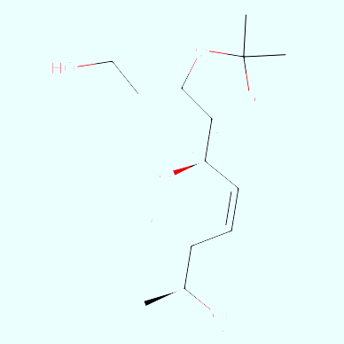 C[C@H](O)[C@H](C)/C=C\[C@@H](O)[C@H]1OC(C)(C)O[C@H]1CCO